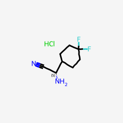 Cl.N#C[C@@H](N)C1CCC(F)(F)CC1